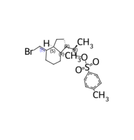 Cc1ccc(S(=O)(=O)OC[C@H](C)[C@H]2CC[C@@H]3/C(=C/Br)CCC[C@@]32C)cc1